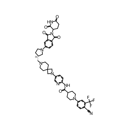 N#Cc1ccc(N2CCC(C(=O)Nc3ccc(N4CC5(CCN(C[C@@H]6CCN(c7ccc8c(c7)C(=O)N(C7CCC(=O)NC7=O)C8=O)C6)CC5)C4)cn3)CC2)cc1C(F)(F)F